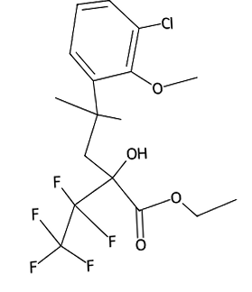 CCOC(=O)C(O)(CC(C)(C)c1cccc(Cl)c1OC)C(F)(F)C(F)(F)F